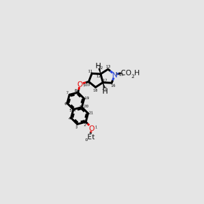 CCOc1ccc2ccc(OC3C[C@@H]4CN(C(=O)O)C[C@@H]4C3)cc2c1